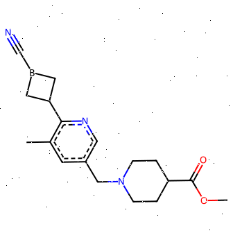 COC(=O)C1CCN(Cc2cnc(C3CB(C#N)C3)c(C)c2)CC1